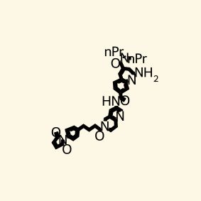 CCCN(CCC)C(=O)C1=Cc2ccc(C(=O)Nc3cnc4c(c3)CN(C(=O)CCCc3ccc(N5C(=O)C=CC5=O)cc3)CC4)cc2N=C(N)C1